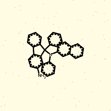 Nc1ccc2c(c1)C(c1ccccc1)(N(c1ccccc1)c1ccc3ccccc3c1)c1ccccc1-2